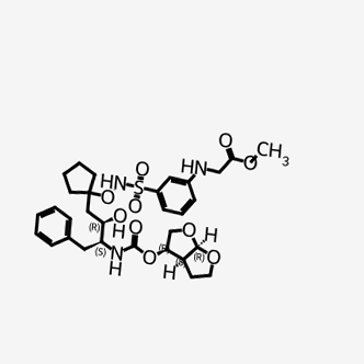 COC(=O)CNc1cccc(S(=O)(=O)NOC2(C[C@@H](O)[C@H](Cc3ccccc3)NC(=O)O[C@H]3CO[C@H]4OCC[C@H]43)CCCC2)c1